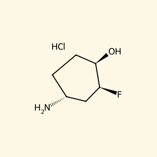 Cl.N[C@@H]1CC[C@@H](O)[C@@H](F)C1